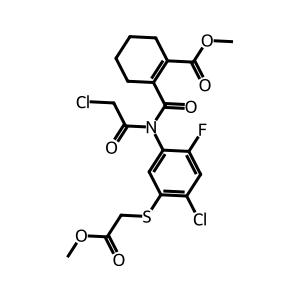 COC(=O)CSc1cc(N(C(=O)CCl)C(=O)C2=C(C(=O)OC)CCCC2)c(F)cc1Cl